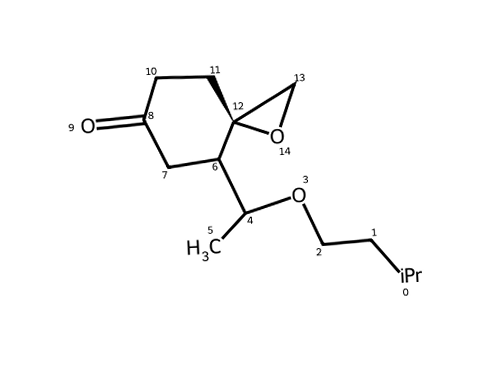 CC(C)CCOC(C)C1CC(=O)CC[C@]12CO2